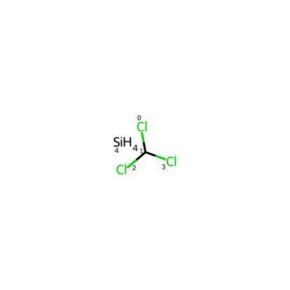 ClC(Cl)Cl.[SiH4]